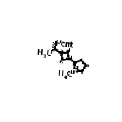 CCCC(C)C(C)C1CC(C2CCCN2C)C1